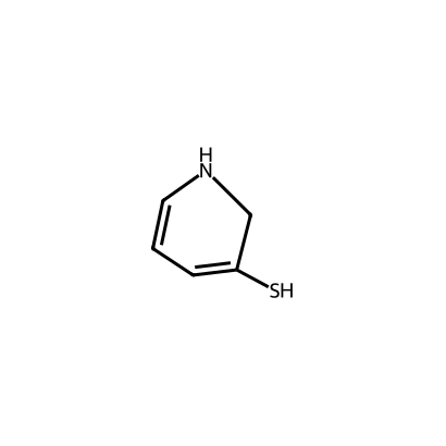 SC1=CC=CNC1